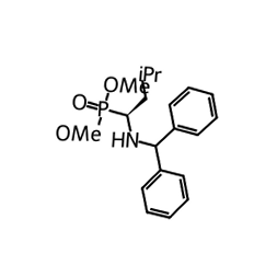 COP(=O)(OC)[C@@H](CC(C)C)NC(c1ccccc1)c1ccccc1